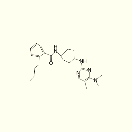 CCCCc1ccccc1C(=O)NC1CCC(Nc2ncc(C)c(N(C)C)n2)CC1